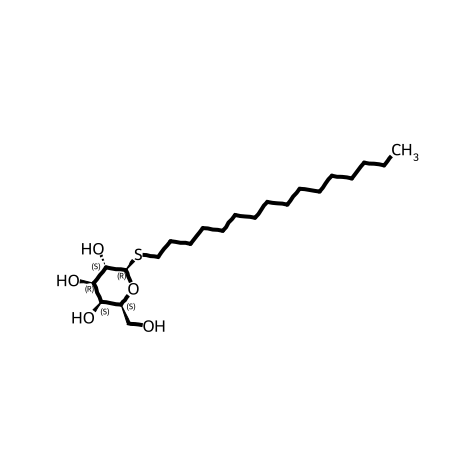 CCCCCCCCCCCCCCCCS[C@H]1O[C@@H](CO)[C@@H](O)[C@@H](O)[C@@H]1O